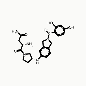 NC(=O)C[C@H](N)C(=O)N1CC[C@@H](Nc2ccc3c(c2)CN([S+]([O-])c2ccc(O)cc2O)C3)C1